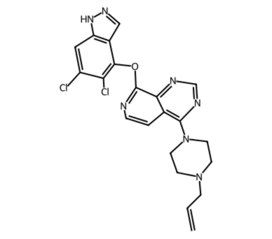 C=CCN1CCN(c2ncnc3c(Oc4c(Cl)c(Cl)cc5[nH]ncc45)nccc23)CC1